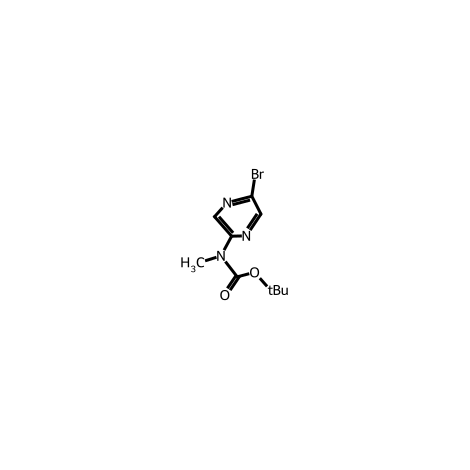 CN(C(=O)OC(C)(C)C)c1cnc(Br)cn1